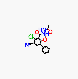 COc1c(-c2ccccc2)cc(C#N)c(Cl)c1C(=O)NNC(C)=O